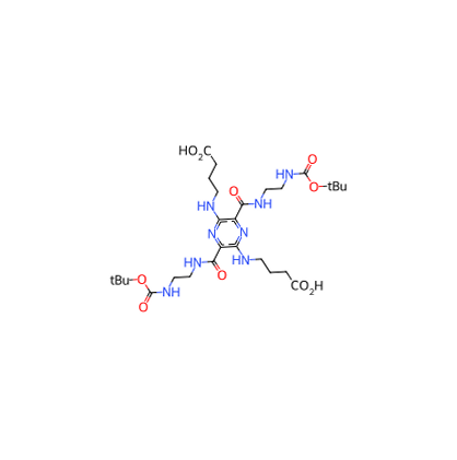 CC(C)(C)OC(=O)NCCNC(=O)c1nc(NCCCC(=O)O)c(C(=O)NCCNC(=O)OC(C)(C)C)nc1NCCCC(=O)O